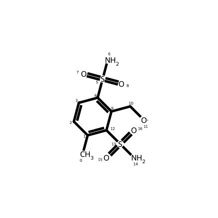 Cc1ccc(S(N)(=O)=O)c(C[O])c1S(N)(=O)=O